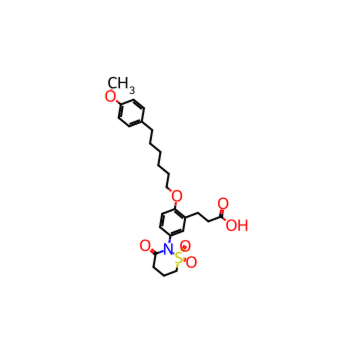 COc1ccc(CCCCCCOc2ccc(N3C(=O)CCCS3(=O)=O)cc2CCC(=O)O)cc1